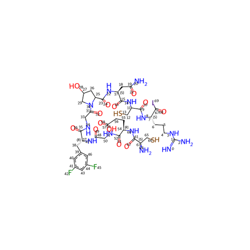 N=C(N)NCCC[C@H](NC(=O)C(CS)NC(=O)[C@H](CC(N)=O)NC(=O)C1CC(O)CN1C(=O)CNC(=O)[C@@H](Cc1cc(F)cc(F)c1)NC(=O)CNC(=O)[C@@H](CCC(=O)O)NC(=O)[C@H](N)CS)C(=O)I